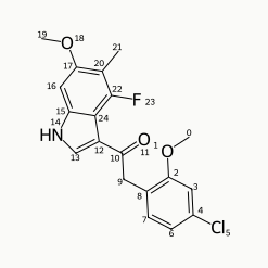 COc1cc(Cl)ccc1CC(=O)c1c[nH]c2cc(OC)c(C)c(F)c12